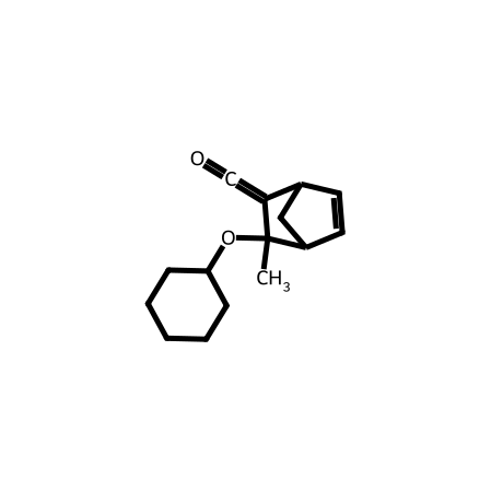 CC1(OC2CCCCC2)C(=C=O)C2C=CC1C2